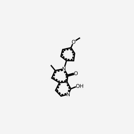 COc1ccc(-n2c(C)cc3ccnc(O)c3c2=O)cc1